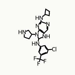 FC(F)(F)c1cc(Cl)cc(NC2Nc3cnc(NC4CCC4)nc3N2C2CCNC2)c1